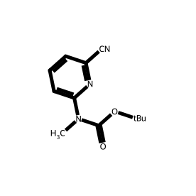 CN(C(=O)OC(C)(C)C)c1cccc(C#N)n1